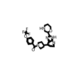 O=C(c1ccc(OC(F)(F)F)cc1)N1CCC(c2ccnc3[nH]c(C4CNCCCO4)nc23)CC1